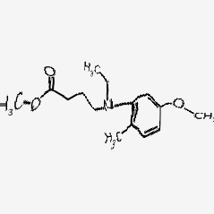 CCN(CCCC(=O)OC)c1cc(OC)ccc1C